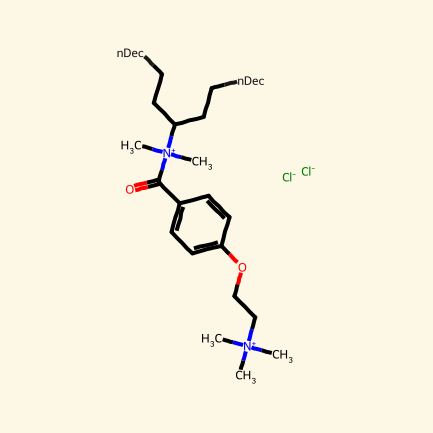 CCCCCCCCCCCCC(CCCCCCCCCCCC)[N+](C)(C)C(=O)c1ccc(OCC[N+](C)(C)C)cc1.[Cl-].[Cl-]